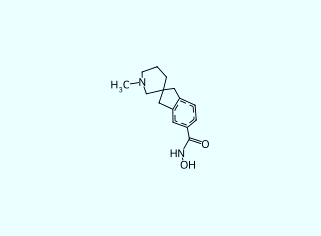 CN1CCCC2(Cc3ccc(C(=O)NO)cc3C2)C1